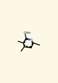 COc1nc(C)cc(C)c1C